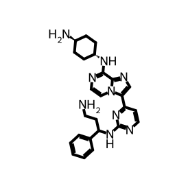 NCCC(Nc1nccc(-c2cnc3c(N[C@H]4CC[C@H](N)CC4)nccn23)n1)c1ccccc1